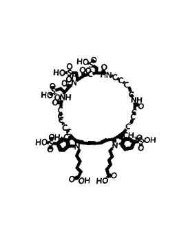 CC12CCCCCC(=O)NCCCCCNC(=O)C(CS(=O)(=O)O)CC(=O)C(CS(=O)(=O)O)NC(=O)C(CS(=O)(=O)O)NC(=O)CCCCCC3(C)/C(=C/C=C/C=C/C1=[N+](CCCCCC(=O)O)c1ccc(S(=O)(=O)O)cc12)N(CCCCCC(=O)O)c1ccc(S(=O)(=O)O)cc13